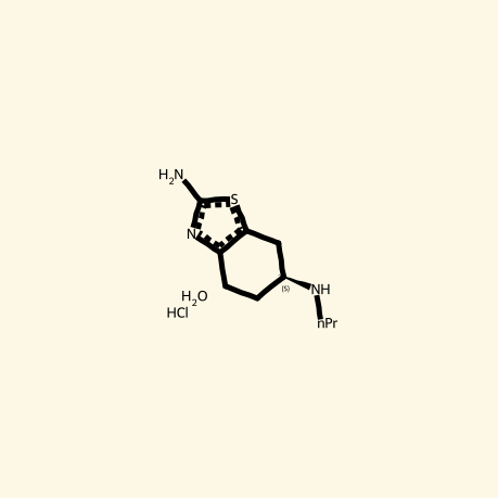 CCCN[C@H]1CCc2nc(N)sc2C1.Cl.O